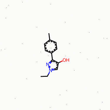 CCn1cc(O)c(-c2ccc(C)cc2)n1